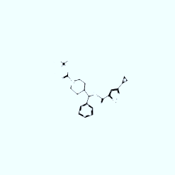 CC(C)(C)OC(=O)N1CCC(C(NC(=O)c2cc(C3CC3)on2)c2ccccc2)CC1